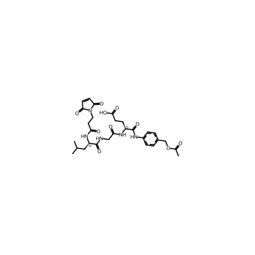 CC(=O)OCc1ccc(NC(=O)[C@H](CCC(=O)O)NC(=O)CNC(=O)[C@@H](CC(C)C)NC(=O)CCN2C(=O)C=CC2=O)cc1